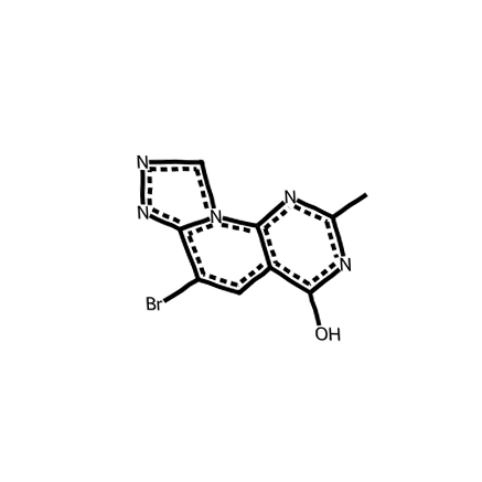 Cc1nc(O)c2cc(Br)c3nncn3c2n1